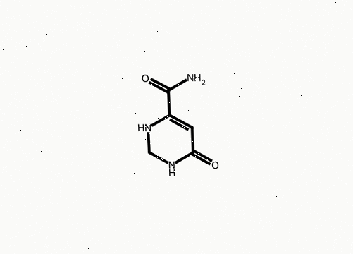 NC(=O)C1=CC(=O)NCN1